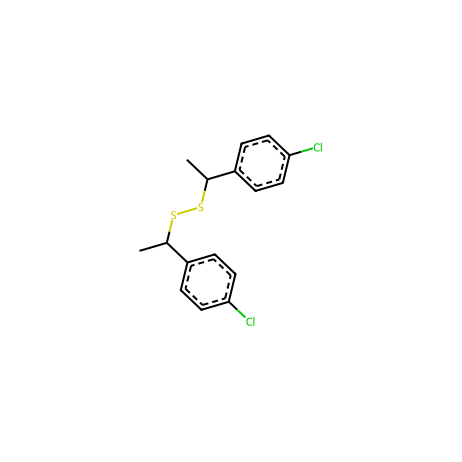 CC(SSC(C)c1ccc(Cl)cc1)c1ccc(Cl)cc1